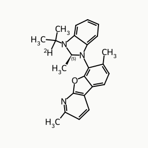 [2H]C(C)(C)N1c2ccccc2N(c2c(C)ccc3c2oc2nc(C)ccc23)[C@H]1C